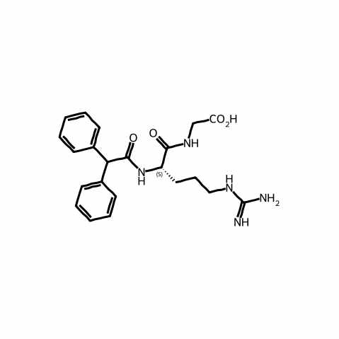 N=C(N)NCCC[C@H](NC(=O)C(c1ccccc1)c1ccccc1)C(=O)NCC(=O)O